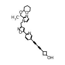 C[C@H](OC1CCCCO1)c1nccn1Cc1cc(-c2ccc(C#CC#CC3CC(O)C3)cn2)on1